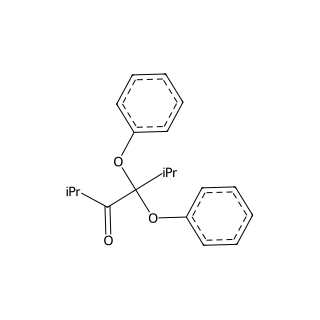 CC(C)C(=O)C(Oc1ccccc1)(Oc1ccccc1)C(C)C